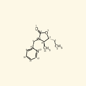 CC[C@H]1OC(=O)N(Cc2ccccn2)[C@@H]1C